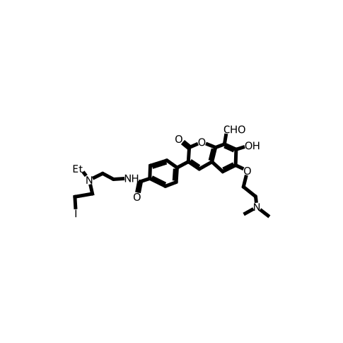 CCN(CCI)CCNC(=O)c1ccc(-c2cc3cc(OCCN(C)C)c(O)c(C=O)c3oc2=O)cc1